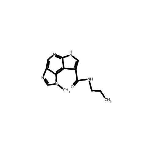 CCCNC(=O)c1c[nH]c2ncc3ncn(C)c3c12